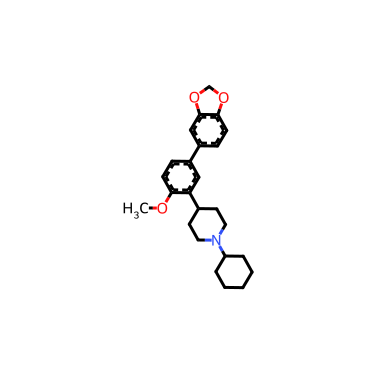 COc1ccc(-c2ccc3c(c2)OCO3)cc1C1CCN(C2CCCCC2)CC1